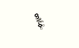 CC(C)N(Cc1ccc(Cl)c(Cl)c1)S(=O)(=O)c1cc2ccccc2s1